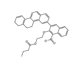 CCCC(=O)OCCOc1c(-c2ccc3ccc4c(c3c2)CCC2=C4C=CCC2)cc2ccccc2c1[N+](=O)[O-]